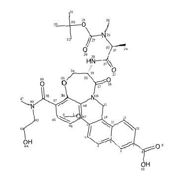 COc1ccc2cc(C(=O)O)ccc2c1CN1C(=O)[C@@H](NC(=O)[C@H](C)N(C)C(=O)OC(C)(C)C)COc2c(C(=O)N(C)CCO)cccc21